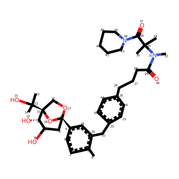 Cc1ccc([C@]23CC(O)[C@H](O)[C@](C(C)(C)O)(CO2)O3)cc1Cc1ccc(CCCC(=O)N(C)C(C)(C)C(=O)N2CCCCC2)cc1